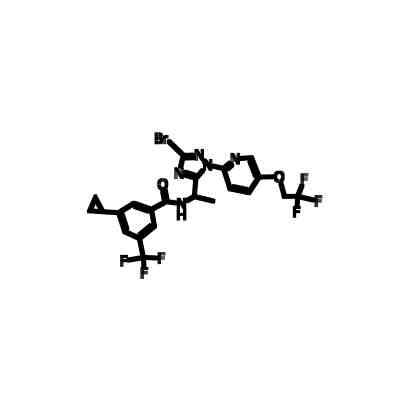 CC(NC(=O)c1cc(C2CC2)cc(C(F)(F)F)c1)c1nc(Br)nn1-c1ccc(OCC(F)(F)F)cn1